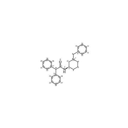 O=C(N[C@@H]1CCCN(Cc2ccccc2)C1)C(c1ccccc1)c1ccccc1